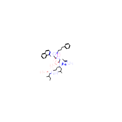 CCC(C)[C@@H](CO)NC(=O)CC(O)C(CC(C)C)NC(=O)[C@H](Cc1c[nH]cn1)NC(=O)[C@H](Cc1cccc2ccccc12)NC(=O)CCCc1ccccc1